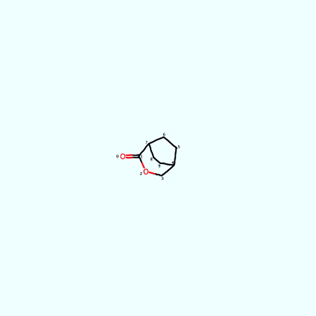 O=C1OCC2CCC1CC2